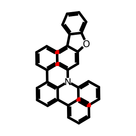 c1ccc(-c2cccc(-c3ccccc3)c2N(c2ccccc2)c2ccc3c(c2)oc2ccccc23)cc1